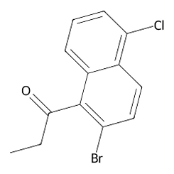 CCC(=O)c1c(Br)ccc2c(Cl)cccc12